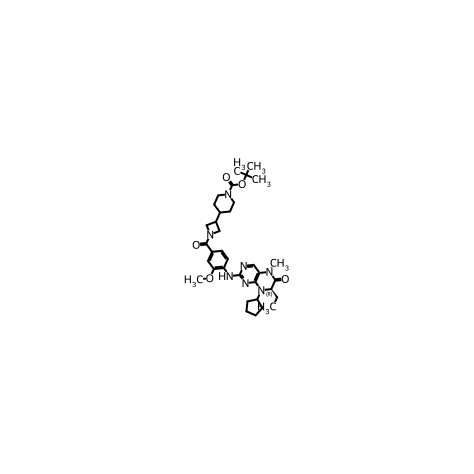 CC[C@@H]1C(=O)N(C)c2cnc(Nc3ccc(C(=O)N4CC(C5CCN(C(=O)OC(C)(C)C)CC5)C4)cc3OC)nc2N1C1CCCC1